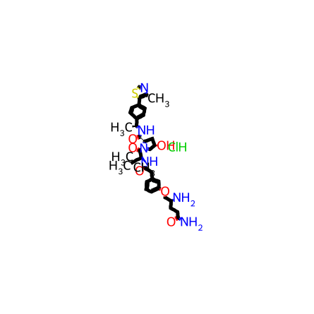 Cc1ncsc1-c1ccc([C@H](C)NC(=O)[C@@H]2C[C@@H](O)CN2C(=O)[C@@H](NC(=O)Cc2cccc(OC[C@@H](N)CCC(N)=O)c2)C(C)(C)C)cc1.Cl